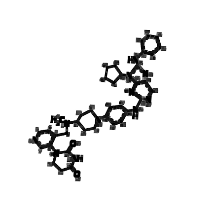 CN(Cc1ccncc1N1CCC(=O)NC1=O)C1CCN(c2ccc(Nc3ncc4nc(Nc5ccccc5)n(C5CCCC5)c4n3)cc2)CC1